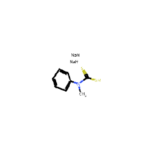 CN(C(=S)S)c1ccccc1.[NaH].[NaH]